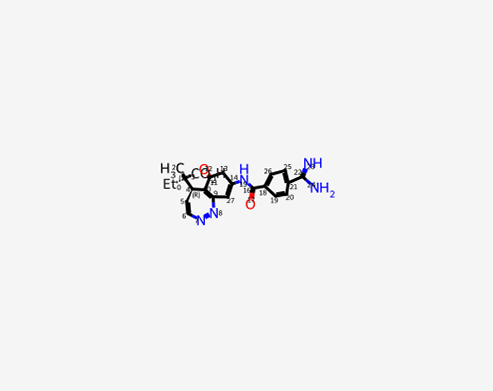 CC[C@](C)(C(=O)O)[C@@H]1C=CN=NC2=C1C(=O)CC(NC(=O)c1ccc(C(=N)N)cc1)=C2